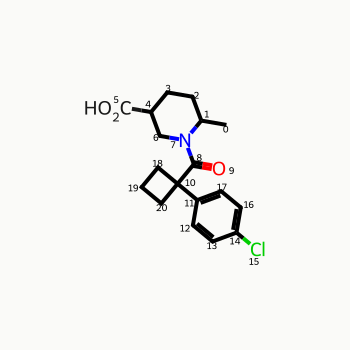 CC1CCC(C(=O)O)CN1C(=O)C1(c2ccc(Cl)cc2)CCC1